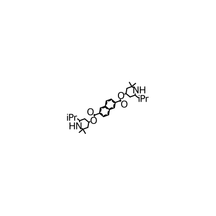 CC(C)C1CC(OC(=O)c2ccc3cc(C(=O)OC4CC(C(C)C)NC(C)(C)C4)ccc3c2)CC(C)(C)N1